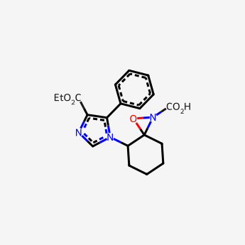 CCOC(=O)c1ncn(C2CCCCC23ON3C(=O)O)c1-c1ccccc1